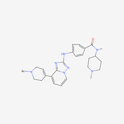 CC(=O)N1CC=C(c2cccn3nc(Nc4ccc(C(=O)N(C)C5CCN(C)CC5)cc4)nc23)CC1